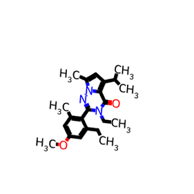 CCc1cc(OC)cc(C)c1-c1nn2c(C)cc(C(C)C)c2c(=O)n1CC